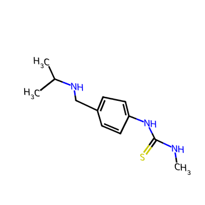 CNC(=S)Nc1ccc(CNC(C)C)cc1